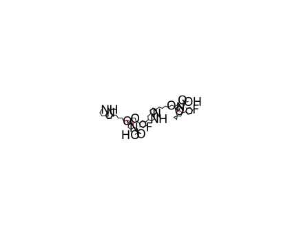 O=C(O)[C@H](c1cc(F)ccc1C1CC2(CC2)CO1)N1CC[C@@H](OCCCCc2ccc3c(n2)NCC(c2cc(C4CC5(CC5)CO4)c([C@H](C(=O)O)N4CC[C@@H](OCCCCc5ccc6c(n5)NCCC6)C4)cc2F)C3)C1